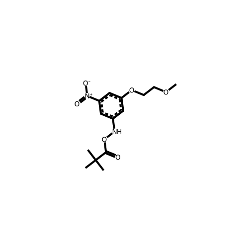 COCCOc1cc(NOC(=O)C(C)(C)C)cc([N+](=O)[O-])c1